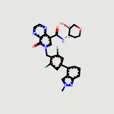 Cn1cc2c(-c3cc(F)c(Cn4cc(C(=O)N[C@H]5CCOC[C@@H]5O)c5nccnc5c4=O)c(F)c3)cccc2n1